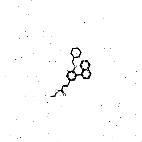 CCOC(=O)C=Cc1ccc(OCC2CCCCC2)c(-c2cccc3ccccc23)c1